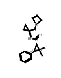 CC1(C)[C@@H](C(=O)NC2(CN3CCC3)CC2)[C@@H]1c1ccccc1